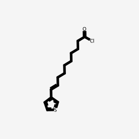 O=C(Cl)CCCCCCC/C=C/c1ccsc1